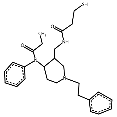 CCC(=O)N(c1ccccc1)C1CCN(CCc2ccccc2)CC1CNC(=O)CCS